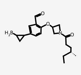 BC1CC1c1ccc(OC2CN(C(=O)CC[C@H](C)CC)C2)c(C=O)c1